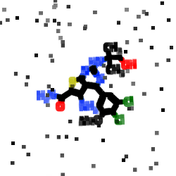 COc1cc(-c2nc(NC(C)(C)CO)nc3sc(C(N)=O)c(N)c23)cc(Cl)c1Cl